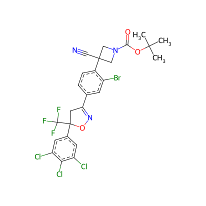 CC(C)(C)OC(=O)N1CC(C#N)(c2ccc(C3=NOC(c4cc(Cl)c(Cl)c(Cl)c4)(C(F)(F)F)C3)cc2Br)C1